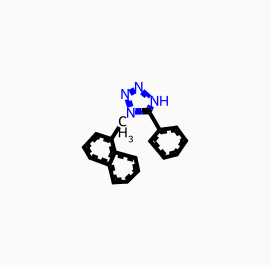 Cc1cccc2ccccc12.c1ccc(-c2nnn[nH]2)cc1